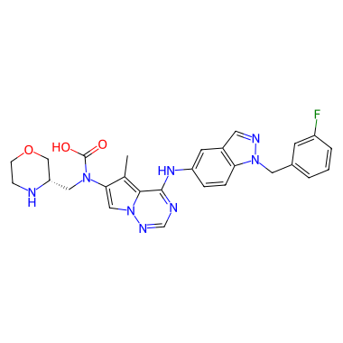 Cc1c(N(C[C@H]2COCCN2)C(=O)O)cn2ncnc(Nc3ccc4c(cnn4Cc4cccc(F)c4)c3)c12